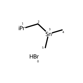 Br.CC(C)[CH2][Sn]([CH3])[CH3]